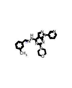 Cc1cccc(/C=N/Nc2nc(N3CCOCC3)nc3c2cnn3-c2cccnc2)c1